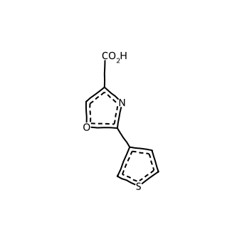 O=C(O)c1coc(-c2ccsc2)n1